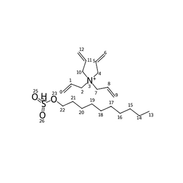 C=CC[N+](CC=C)(CC=C)CC=C.CCCCCCCCCCO[SH](=O)=O